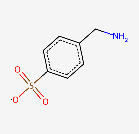 NCc1ccc(S([O])(=O)=O)cc1